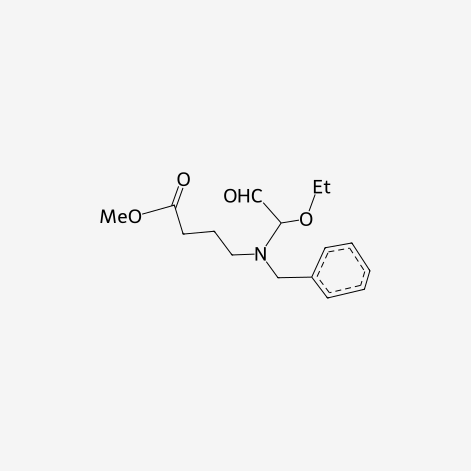 CCOC(C=O)N(CCCC(=O)OC)Cc1ccccc1